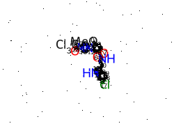 COc1ccc(S(=O)(=O)NCCc2c[nH]c3cc(Cl)ccc23)cc1N1CCN(C(=O)C(Cl)(Cl)Cl)CC1